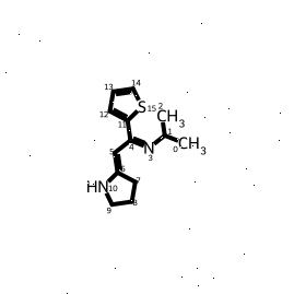 CC(C)N=C(C=C1CCCN1)c1cccs1